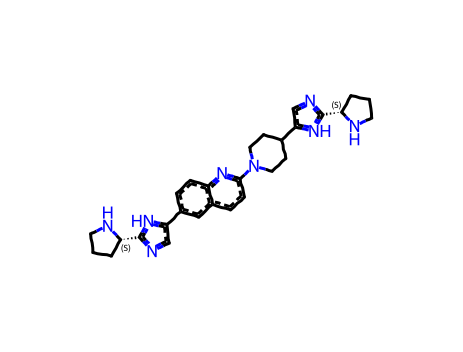 c1cc2nc(N3CCC(c4cnc([C@@H]5CCCN5)[nH]4)CC3)ccc2cc1-c1cnc([C@@H]2CCCN2)[nH]1